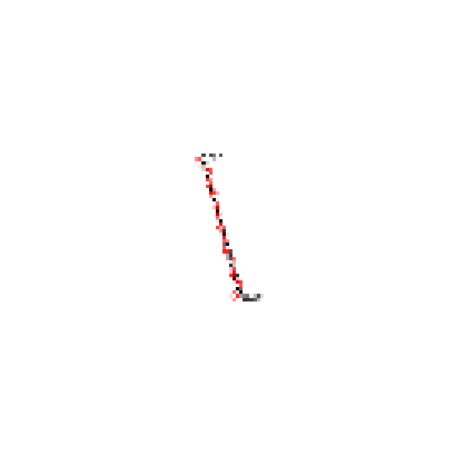 CNC(=O)CCOCCOCCOCCOCCOCCOCCOCCOCCOCCOCCOCCC(=O)NC